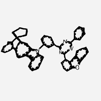 c1ccc(-c2nc(-c3cccc(-n4c5ccccc5c5cc6c(cc54)C4(CCCC4)c4ccccc4-6)c3)nc(-c3cccc4oc5ccccc5c34)n2)cc1